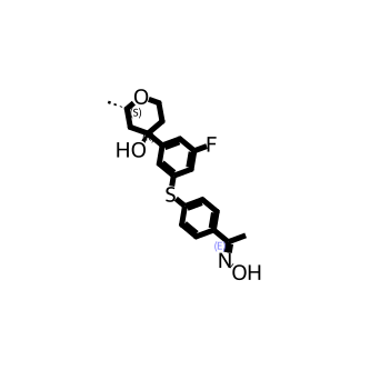 C/C(=N\O)c1ccc(Sc2cc(F)cc([C@@]3(O)CCO[C@@H](C)C3)c2)cc1